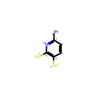 CC(C)c1ccc(S)c(S)n1